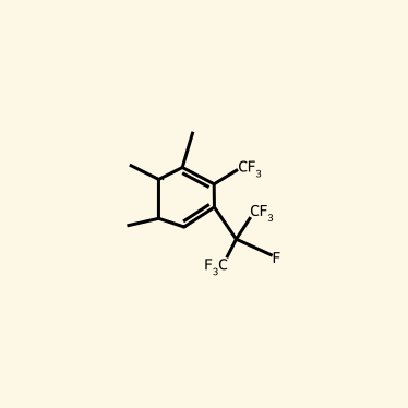 C[C]1C(C)=C(C(F)(F)F)C(C(F)(C(F)(F)F)C(F)(F)F)=CC1C